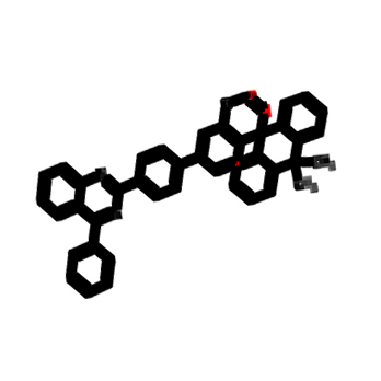 CC1(C)c2ccccc2C2(c3ccccc3Oc3cc(-c4ccc(-c5nc(-c6ccccc6)c6ccccc6n5)cc4)ccc32)c2ccccc21